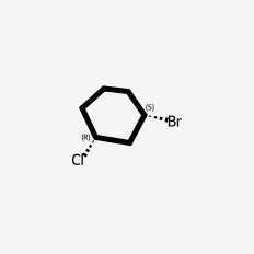 Cl[C@@H]1CCC[C@H](Br)C1